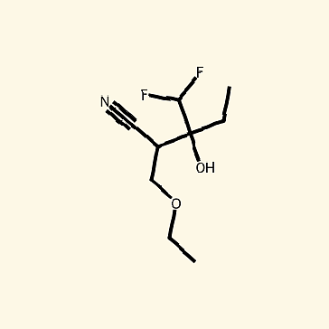 CCOCC(C#N)C(O)(CC)C(F)F